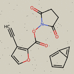 C#Cc1ccoc1C(=O)ON1C(=O)CCC1=O.c1cc2cc-2c1